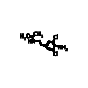 CC(C)NCCc1cc(Cl)c(N)c(Cl)c1